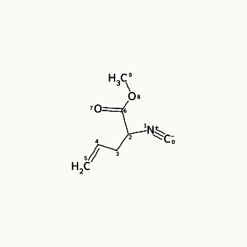 [C-]#[N+]C(CC=C)C(=O)OC